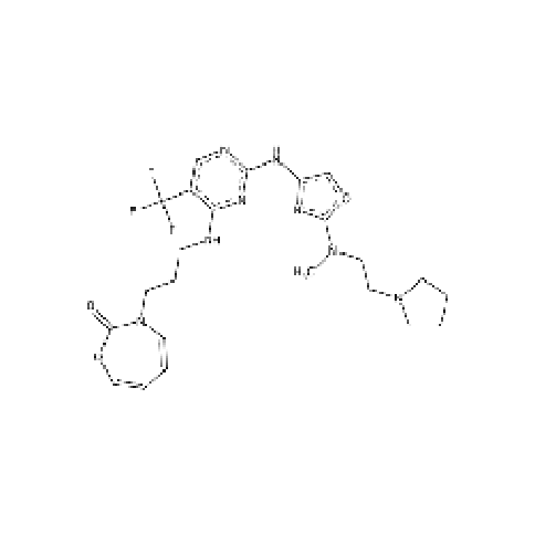 CN(CCN1CCCC1)c1nc(Nc2ncc(C(F)(F)F)c(NCCCN3C=CC=COC3=O)n2)co1